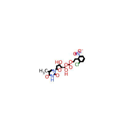 Cc1cn([C@H]2C[C@H](O)[C@@H](C(O)OC(=O)OCCc3c(Cl)cccc3[N+](=O)[O-])O2)c(=O)[nH]c1=O